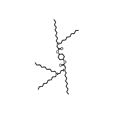 CCCCCCCCCN(CCCCCCCCC)CCN(CCCCCCCCC)CC(=O)OC1CCC(OC(=O)CN(CCCCCCCCC)CCCCCCCCC)CC1